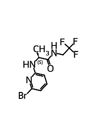 C[C@H](Nc1cccc(Br)n1)C(=O)NCC(F)(F)F